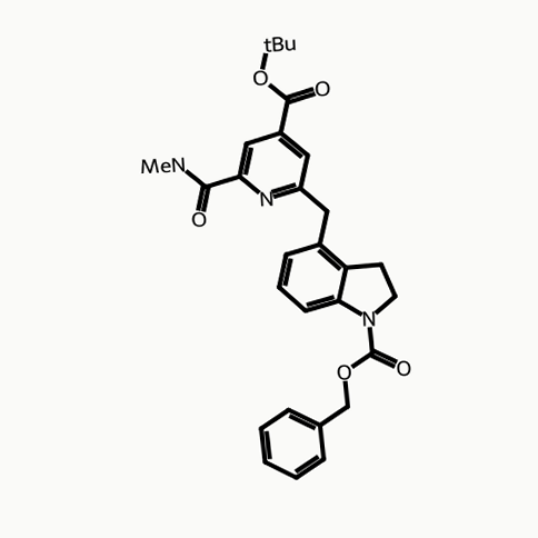 CNC(=O)c1cc(C(=O)OC(C)(C)C)cc(Cc2cccc3c2CCN3C(=O)OCc2ccccc2)n1